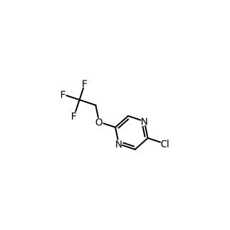 FC(F)(F)COc1cnc(Cl)cn1